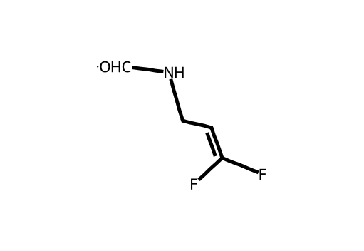 O=[C]NCC=C(F)F